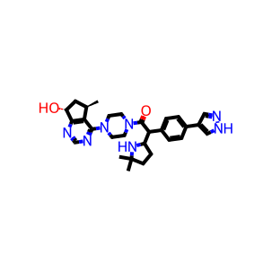 C[C@@H]1C[C@@H](O)c2ncnc(N3CCN(C(=O)C(c4ccc(-c5cn[nH]c5)cc4)C4CCC(C)(C)N4)CC3)c21